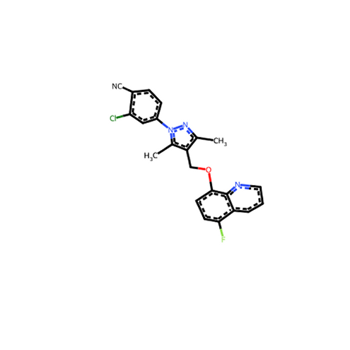 Cc1nn(-c2ccc(C#N)c(Cl)c2)c(C)c1COc1ccc(F)c2cccnc12